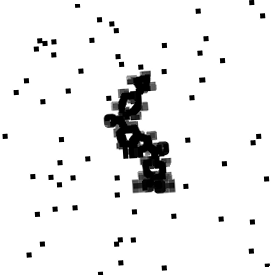 O=C(c1ccc2[nH]c(C(=O)N3CCS(O)(O)CC3)cc2c1)N1CCN(C2CCC2)CC1